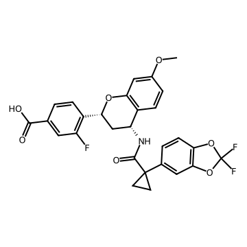 COc1ccc2c(c1)O[C@@H](c1ccc(C(=O)O)cc1F)C[C@H]2NC(=O)C1(c2ccc3c(c2)OC(F)(F)O3)CC1